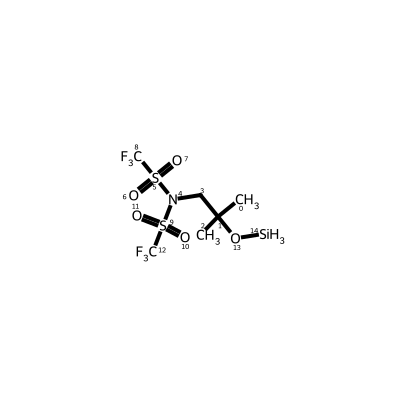 CC(C)(CN(S(=O)(=O)C(F)(F)F)S(=O)(=O)C(F)(F)F)O[SiH3]